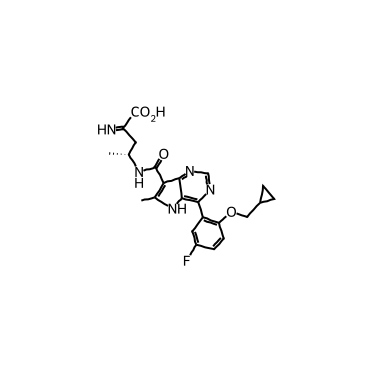 Cc1[nH]c2c(-c3cc(F)ccc3OCC3CC3)ncnc2c1C(=O)N[C@H](C)CC(=N)C(=O)O